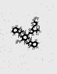 CC(C)c1cc2c(s1)-c1sc(-c3c4nc5c(nc4c(C(C)C)c4nc6c(nc34)sc3ccccc36)sc3ccccc35)cc1C(C)(C)O2